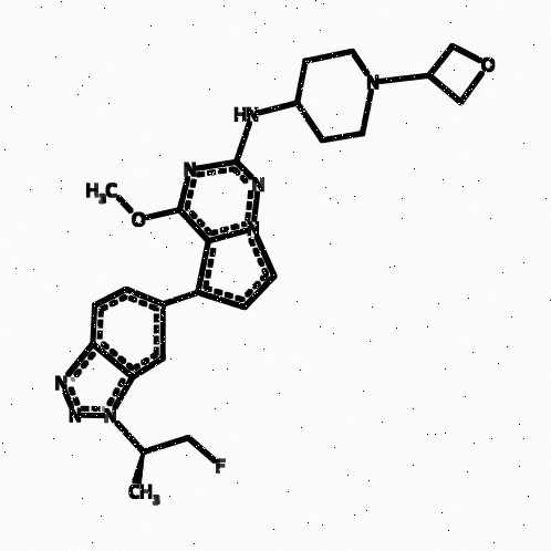 COc1nc(NC2CCN(C3COC3)CC2)nn2ccc(-c3ccc4nnn([C@H](C)CF)c4c3)c12